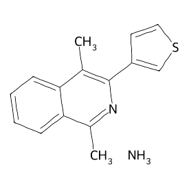 Cc1nc(-c2ccsc2)c(C)c2ccccc12.N